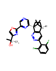 CC1(C)[C@H]2CC[C@]1(c1cncc(-c3nc([C@](C)(O)C(F)(F)F)co3)n1)c1nnc(-c3c(F)cccc3F)cc12